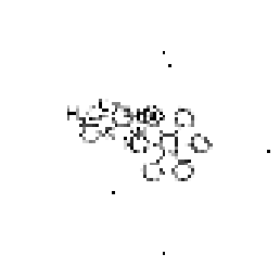 CC(C)(C)c1ccc2c(c1-c1nccc(-c3c(-c4ccccc4)c(-c4ccccc4)c(-c4ccccc4)c(-c4ccccc4)c3-c3ccccc3)n1)Sc1ccccc1C2(C)C